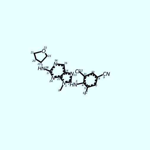 Cn1c(Nc2c(F)cc(C#N)cc2Cl)nc2cnc(N[C@@H]3CCOC3)nc21